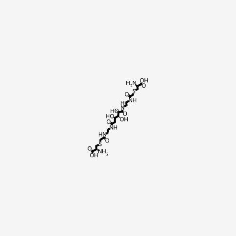 NC(CSCC(=O)NCCNC(=O)[C@@H](O)[C@H](O)[C@H](O)CC(=O)NCCNC(=O)CSC[C@@H](N)C(=O)O)C(=O)O